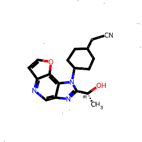 C[C@@H](O)c1nc2cnc3ccoc3c2n1C1CCC(CC#N)CC1